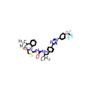 CC(Cc1ccc(-c2ncn(-c3ccc(OC(F)(F)F)cc3)n2)cc1)NC(=O)/N=C1\SCC(=O)N1c1ccccc1C(C)C